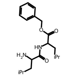 CC(C)CC(N)C(=O)NC(CC(C)C)C(=O)OCc1ccccc1